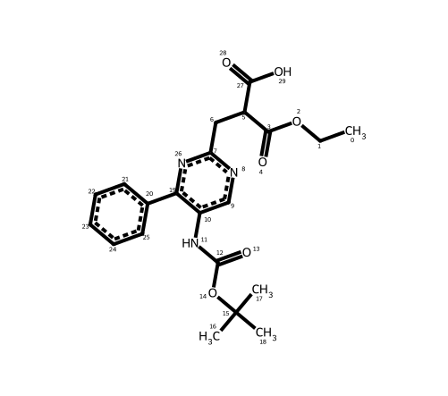 CCOC(=O)C(Cc1ncc(NC(=O)OC(C)(C)C)c(-c2ccccc2)n1)C(=O)O